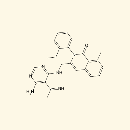 CCc1ccccc1-n1c(CNc2ncnc(N)c2C(C)=N)cc2cccc(C)c2c1=O